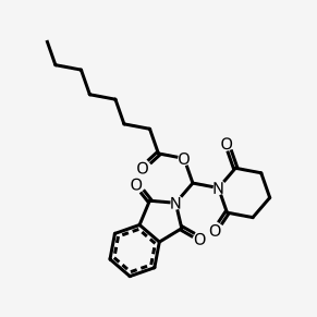 CCCCCCCC(=O)OC(N1C(=O)CCCC1=O)N1C(=O)c2ccccc2C1=O